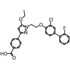 CCOc1cc(-c2ccc(C(=O)O)cc2)nn1CCOc1ccc(-c2ccccc2F)cc1Cl